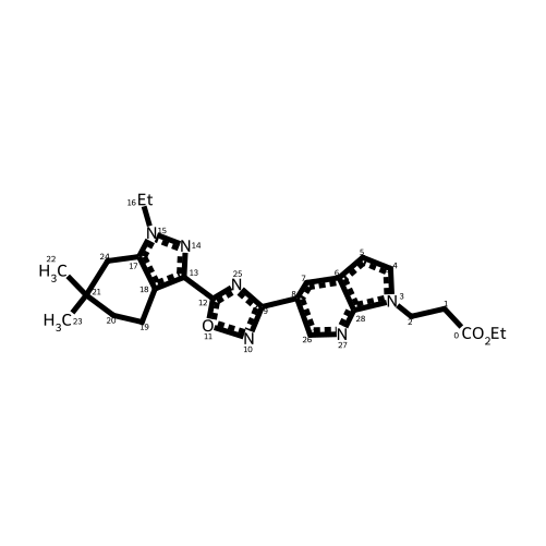 CCOC(=O)CCn1ccc2cc(-c3noc(-c4nn(CC)c5c4CCC(C)(C)C5)n3)cnc21